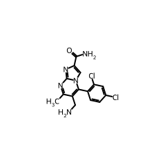 Cc1nc2nc(C(N)=O)cn2c(-c2ccc(Cl)cc2Cl)c1CN